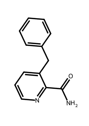 NC(=O)c1ncccc1Cc1ccccc1